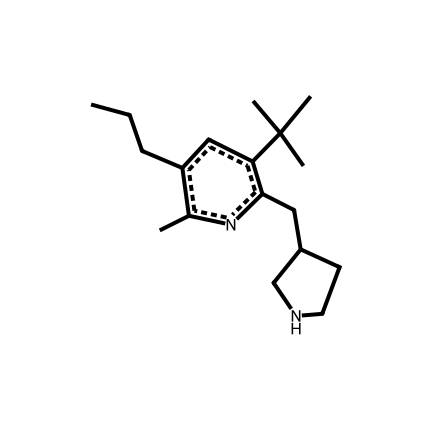 CCCc1cc(C(C)(C)C)c(CC2CCNC2)nc1C